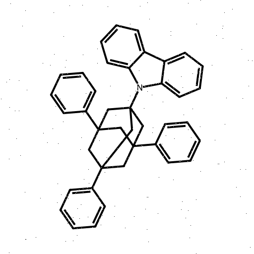 c1ccc(C23CC4(c5ccccc5)CC(c5ccccc5)(C2)CC(n2c5ccccc5c5ccccc52)(C3)C4)cc1